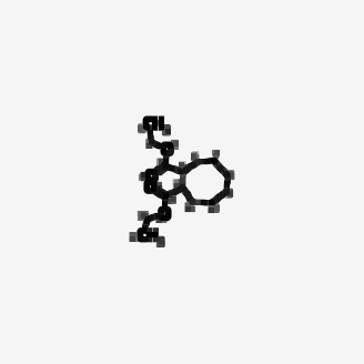 CCOC(=O)C1CCCCCCC1C(=O)OCC